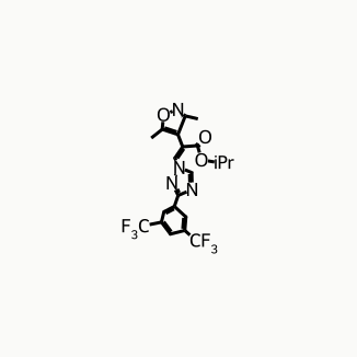 Cc1noc(C)c1C(=Cn1cnc(-c2cc(C(F)(F)F)cc(C(F)(F)F)c2)n1)C(=O)OC(C)C